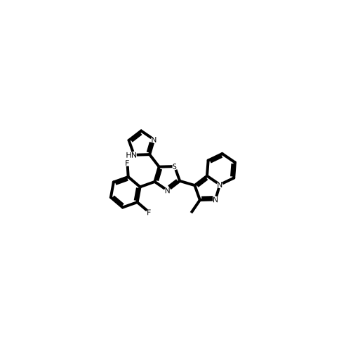 Cc1nn2ccccc2c1-c1nc(-c2c(F)cccc2F)c(-c2ncc[nH]2)s1